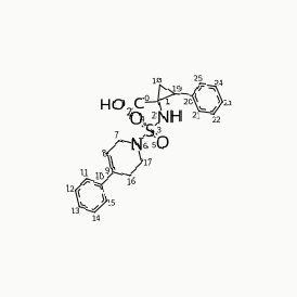 O=C(O)C1(NS(=O)(=O)N2CC=C(c3ccccc3)CC2)CC1c1ccccc1